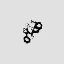 Cc1onc(-c2ccccc2)c1C(=O)c1cc2cccc(Br)c2o1